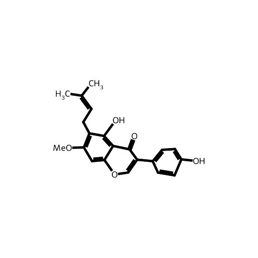 COc1cc2occ(-c3ccc(O)cc3)c(=O)c2c(O)c1CC=C(C)C